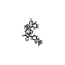 C=C1C(=O)N(c2ccc(SC(F)(F)F)cc2)C(=O)N1Cc1noc(-c2ccccc2OC)n1